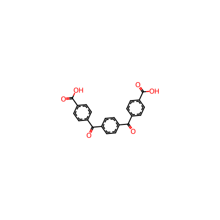 O=C(O)c1ccc(C(=O)c2ccc(C(=O)c3ccc(C(=O)O)cc3)cc2)cc1